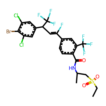 CCS(=O)(=O)CC(C)NC(=O)c1ccc(/C(F)=C/C(c2cc(Cl)c(Br)c(Cl)c2)C(F)(F)F)cc1C(F)(F)F